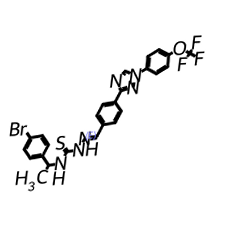 CC(NC(=S)N/N=C/c1ccc(-c2ncn(-c3ccc(OC(F)(F)F)cc3)n2)cc1)c1ccc(Br)cc1